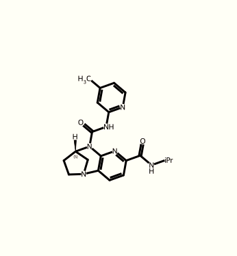 Cc1ccnc(NC(=O)N2c3nc(C(=O)NC(C)C)ccc3N3CC[C@H]2C3)c1